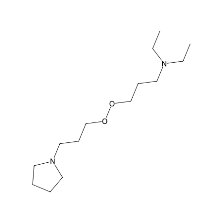 CCN(CC)CCCOOCCCN1CCCC1